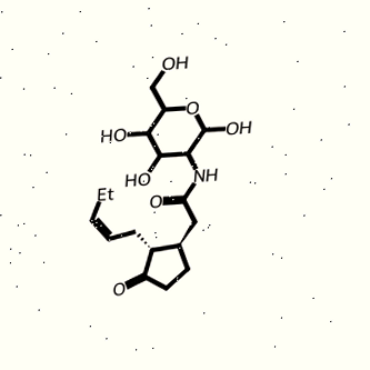 CC/C=C\C[C@H]1C(=O)CC[C@@H]1CC(=O)NC1C(O)OC(CO)C(O)C1O